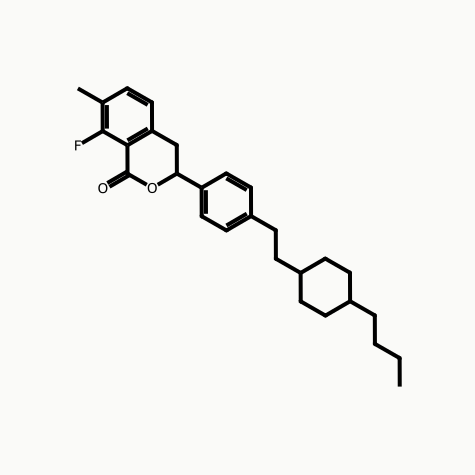 CCCCC1CCC(CCc2ccc(C3Cc4ccc(C)c(F)c4C(=O)O3)cc2)CC1